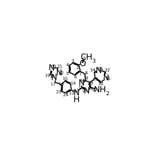 COc1ccccc1Cc1nc(Nc2ccc(Cn3cncn3)cc2)nc(N)c1-c1cncnc1